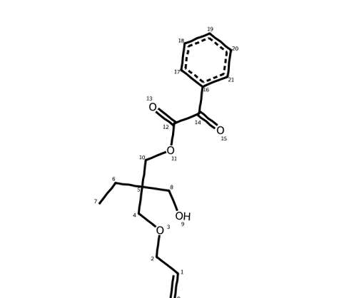 C=CCOCC(CC)(CO)COC(=O)C(=O)c1ccccc1